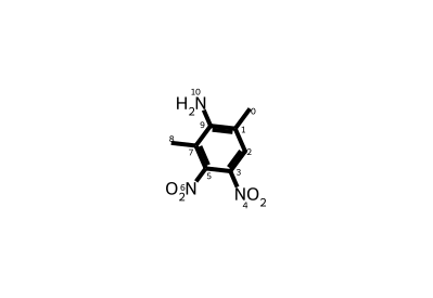 Cc1cc([N+](=O)[O-])c([N+](=O)[O-])c(C)c1N